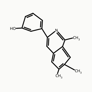 Cc1cc2cc(-c3cccc(O)c3)nc(C)c2cc1C